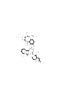 CCN1C(=O)C(C)(C)C(=O)N(C)c2cc(CN(CCn3ccc4oc(C)cc4c3=O)Cc3nc(C)n4ccccc34)ccc21